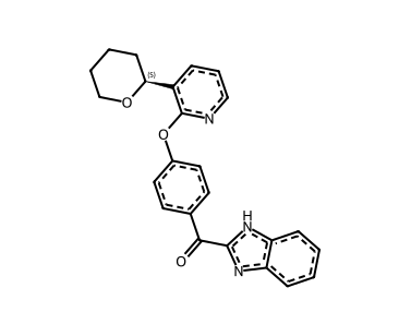 O=C(c1ccc(Oc2ncccc2[C@@H]2CCCCO2)cc1)c1nc2ccccc2[nH]1